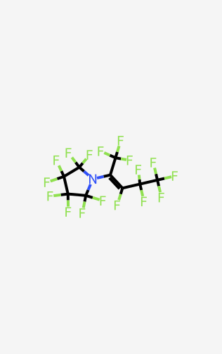 FC(=C(N1C(F)(F)C(F)(F)C(F)(F)C1(F)F)C(F)(F)F)C(F)(F)C(F)(F)F